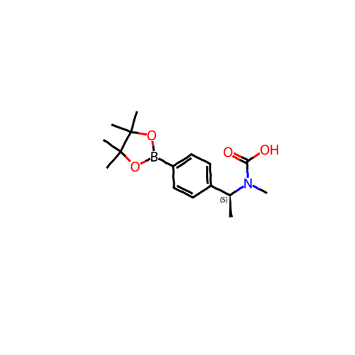 C[C@@H](c1ccc(B2OC(C)(C)C(C)(C)O2)cc1)N(C)C(=O)O